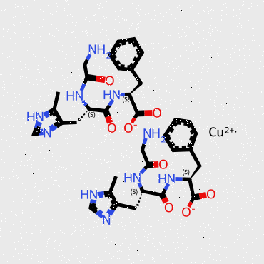 Cc1[nH]cnc1C[C@H](NC(=O)CN)C(=O)N[C@@H](Cc1ccccc1)C(=O)[O-].Cc1[nH]cnc1C[C@H](NC(=O)CN)C(=O)N[C@@H](Cc1ccccc1)C(=O)[O-].[Cu+2]